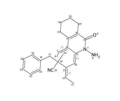 C/C=c1/c2c(c(=O)n(N)/c1=C/C(=C\C)C(C)(C#N)Cc1ccccc1)CCCC2